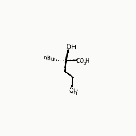 CCCC[C@@](O)(CCO)C(=O)O